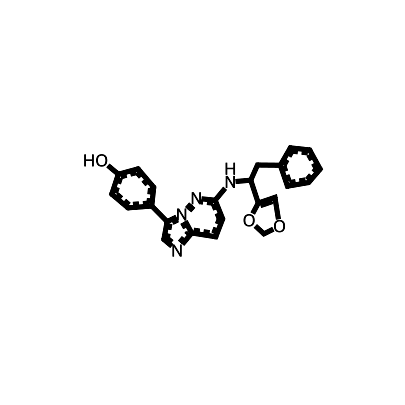 Oc1ccc(-c2cnc3ccc(NC(Cc4ccccc4)C4=COCO4)nn23)cc1